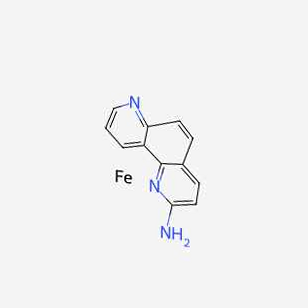 Nc1ccc2ccc3ncccc3c2n1.[Fe]